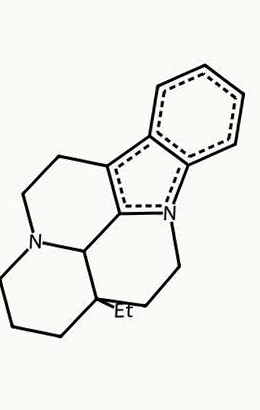 CCC12CCCN3CCc4c(n(c5ccccc45)CC1)C32